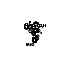 COc1ccc(C(=O)N2CCc3c2cc(C)c([C@H](OC(C)(C)C)C(=O)O)c3-c2cc(F)c3c(c2C)CCCO3)c(F)c1